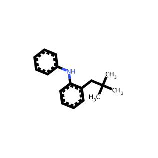 CC(C)(C)Cc1ccccc1Nc1ccccc1